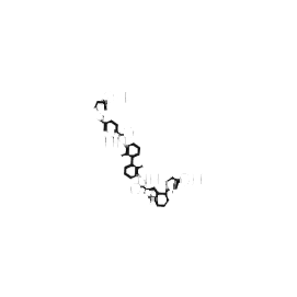 Cc1c(NC(=O)c2ccc(CN3CC[C@@H](O)C3)cn2)cccc1-c1cccc(NC(=O)c2cc3n(n2)CCCC3N2CC[C@@H](O)C2)c1C